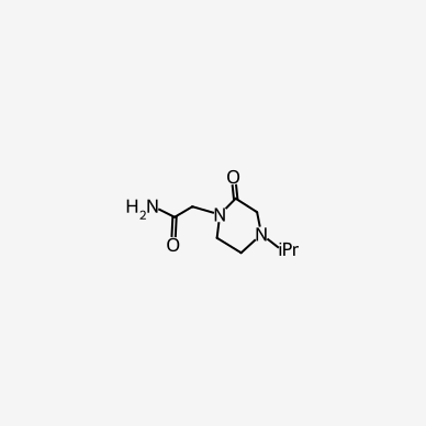 CC(C)N1CCN(CC(N)=O)C(=O)C1